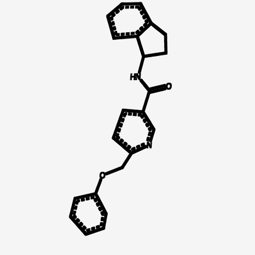 O=C(NC1CCc2ccccc21)c1ccc(COc2ccccc2)nc1